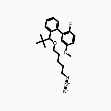 COc1ccc(F)c(-c2ccccc2C(OCCCCCN=[N+]=[N-])C(C)(C)C)c1